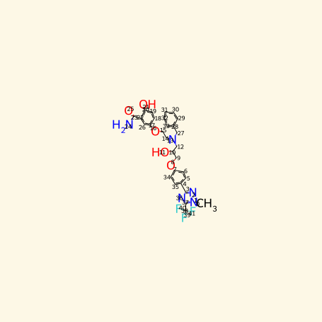 Cn1nc(-c2ccc(OCC(O)CN(CCOc3ccc(O)c(C(N)=O)c3)Cc3ccccc3)cc2)nc1C(F)(F)F